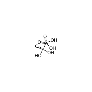 O=[P](O)(O)[W](=[O])(=[O])([OH])[OH]